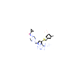 COc1cc(C)cc2cc(-c3cc(CN4CCN(C(=O)C5CC5)CC4)n4ncnc(N)c34)sc12